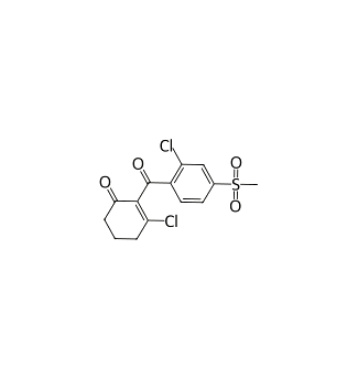 CS(=O)(=O)c1ccc(C(=O)C2=C(Cl)CCCC2=O)c(Cl)c1